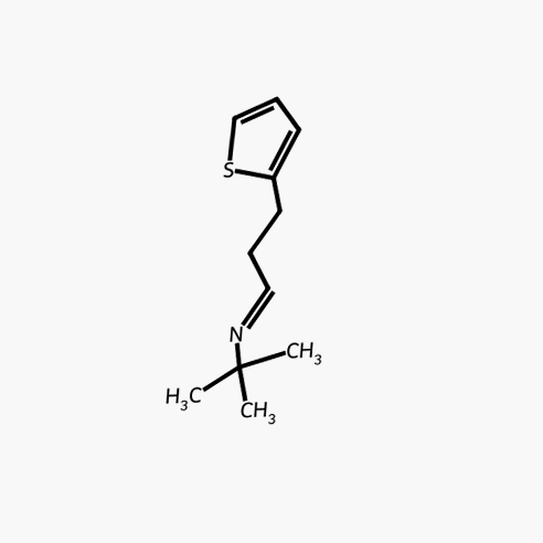 CC(C)(C)N=CCCc1cccs1